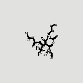 C=CN(CCCC)c1sc(C(=C)CCC)c(C(F)(F)F)c1C(=C)N(C)CC